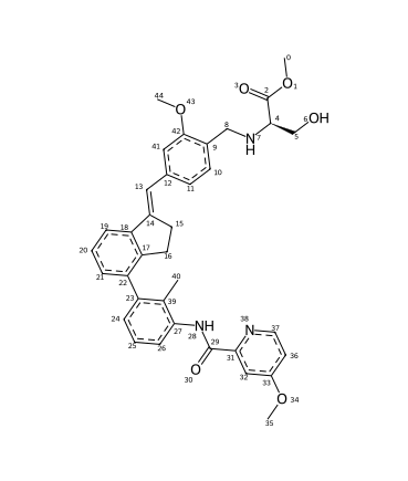 COC(=O)[C@@H](CO)NCc1ccc(/C=C2\CCc3c2cccc3-c2cccc(NC(=O)c3cc(OC)ccn3)c2C)cc1OC